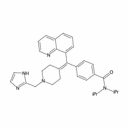 CC(C)N(C(=O)c1ccc(C(=C2CCN(Cc3ncc[nH]3)CC2)c2cccc3cccnc23)cc1)C(C)C